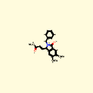 COC(=O)/C=C/C1c2cc(OC)c(OC)cc2C(=O)N1Cc1ccccc1